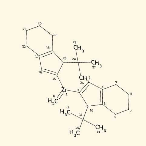 [CH2]=[Zr]([C]1=CC2=C(CCCC2)C1C(C)(C)C)[C]1=CC2=C(CCCC2)C1C(C)(C)C